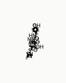 Cc1nnc(SCC2=C(C(=O)O)N3C(=O)C(NC(=O)NCc4ccc(O)cc4)[C@@H]3SC2)s1